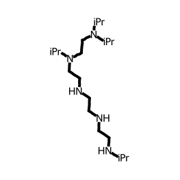 CC(C)NCCNCCNCCN(CCN(C(C)C)C(C)C)C(C)C